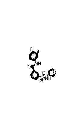 Cc1cc(NC(=O)c2cccc(S(=O)(=O)N[C@@H]3CCOC3)c2)ccc1F